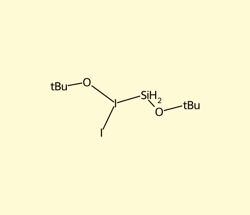 CC(C)(C)O[SiH2]I(I)OC(C)(C)C